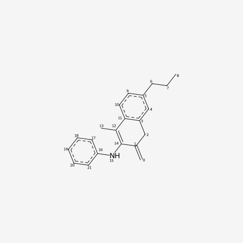 C=C1Cc2cc(CCC)ccc2C(C)=C1Nc1ccccc1